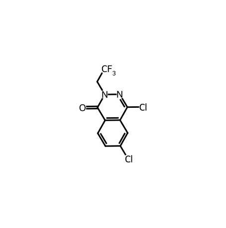 O=c1c2ccc(Cl)cc2c(Cl)nn1CC(F)(F)F